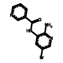 Nc1ncc(Br)cc1NC(=O)c1cccnc1